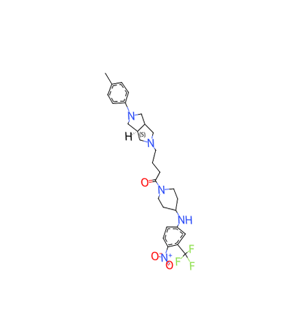 Cc1ccc(N2CC3CN(CCCC(=O)N4CCC(Nc5ccc([N+](=O)[O-])c(C(F)(F)F)c5)CC4)C[C@H]3C2)cc1